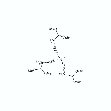 COC(OC)[SiH2]C#C[Si](C)(C#C[SiH2]C(OC)OC)C#C[SiH2]C(OC)OC